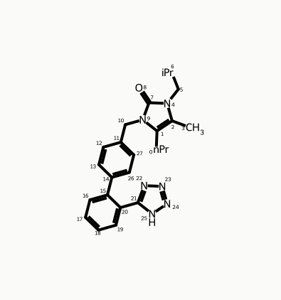 CCCc1c(C)n(CC(C)C)c(=O)n1Cc1ccc(-c2ccccc2-c2nnn[nH]2)cc1